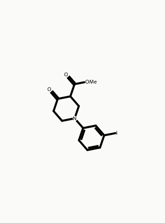 COC(=O)C1CN(c2cccc(I)c2)CCC1=O